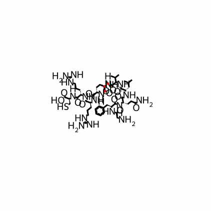 CC(C)C[C@H](NC(=O)[C@H](CCC(N)=O)NC(=O)[C@H](Cc1ccccc1)NC(=O)CN)C(=O)N[C@H](C(=O)N[C@@H](C)C(=O)N[C@@H](CCC(N)=O)C(=O)N[C@@H](CCCNC(=N)N)C(=O)N[C@@H](CCCNC(=N)N)C(=O)N[C@@H](CS)C(=O)O)C(C)C